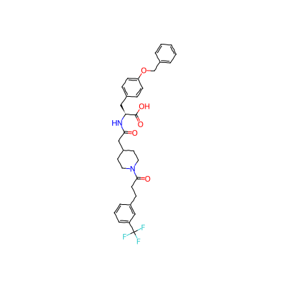 O=C(CC1CCN(C(=O)CCc2cccc(C(F)(F)F)c2)CC1)N[C@@H](Cc1ccc(OCc2ccccc2)cc1)C(=O)O